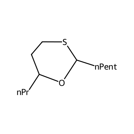 CCCCCC1OC(CCC)CCS1